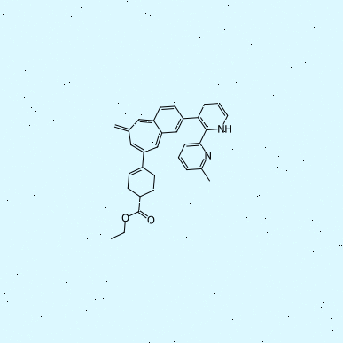 C=C1C=C(C2=CCC(C(=O)OCC)CC2)C=c2cc(C3=C(c4cccc(C)n4)NC=CC3)ccc2=C1